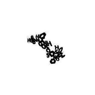 CCCCC1(CC)C(=O)[SH]c2cc(OCC(=O)N[C@@H](C(=O)NCCS(=O)(=O)O)c3ccccc3)c(SC)cc2N(c2ccccc2)C1=O